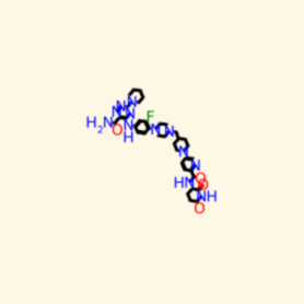 NC(=O)c1nnc(N2CCCCC2)nc1Nc1ccc(N2CCN(CC3CCN(c4ccc(C(=O)NC5CCC(=O)NC5=O)nc4)CC3)CC2)c(F)c1